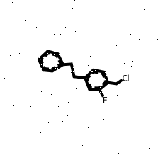 Fc1cc(CCc2ccccc2)ccc1CCl